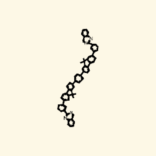 CC1(C)c2cc(-c3ccc(-c4ccc5c(c4)C(C)(C)c4cc(-c6cccc(-c7ncc8ccccc8n7)c6)ccc4-5)cc3)ccc2-c2ccc(-c3cccc(-c4ncc5ccccc5n4)c3)cc21